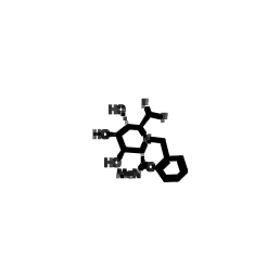 CNC(=O)[C@@H]1[C@@H](O)[C@@H](O)[C@H](O)[C@@H](C(F)F)N1Cc1ccccc1